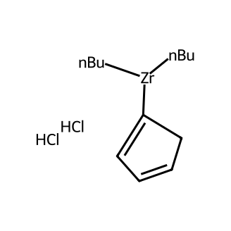 CCC[CH2][Zr]([CH2]CCC)[C]1=CC=CC1.Cl.Cl